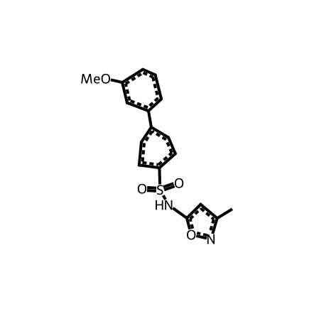 COc1cccc(-c2ccc(S(=O)(=O)Nc3cc(C)no3)cc2)c1